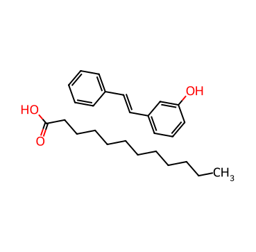 CCCCCCCCCCCC(=O)O.Oc1cccc(C=Cc2ccccc2)c1